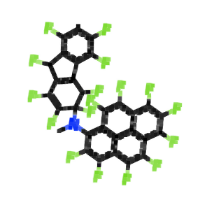 CN(c1c(F)c(F)c2c(F)c(F)c3c(F)c(F)c(F)c4c(F)c(F)c1c2c34)C1(F)C(F)=C(F)C2=C(c3c(F)c(F)[c]c(F)c3C2F)C1F